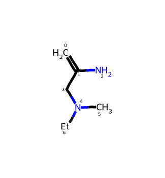 C=C(N)CN(C)CC